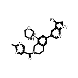 CCc1c[nH]c2ncc(-c3cc4c(c([C@@H]5COCCN5)c3)CN(C(=O)c3cnc(C)nc3)CC4)cc12